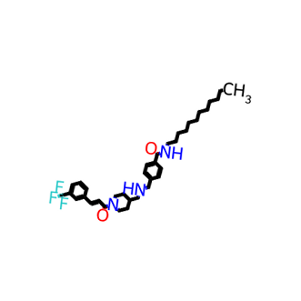 CCCCCCCCCCCCNC(=O)c1ccc(CNCC2CCN(C(=O)/C=C/c3cccc(C(F)(F)F)c3)CC2)cc1